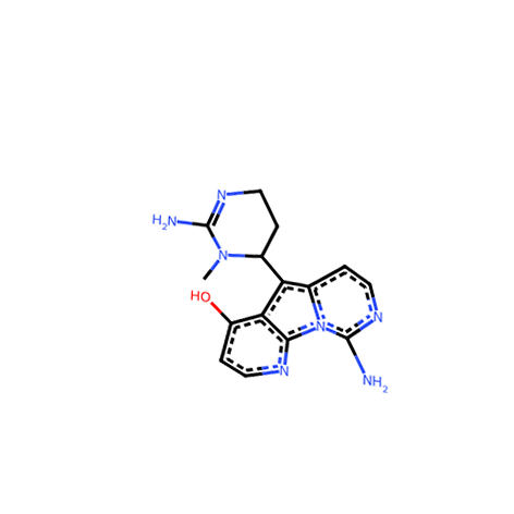 CN1C(N)=NCCC1c1c2c(O)ccnc2n2c(N)nccc12